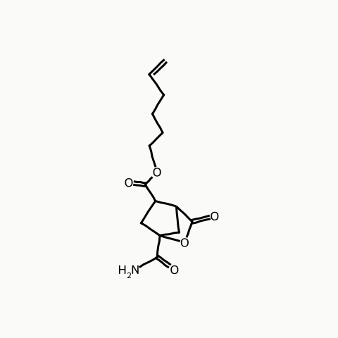 C=CCCCCOC(=O)C1CC2(C(N)=O)CC1C(=O)O2